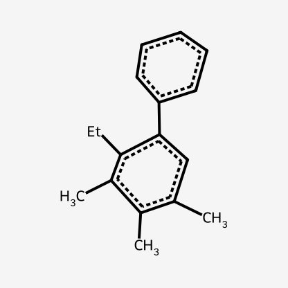 CCc1c(-c2ccccc2)cc(C)c(C)c1C